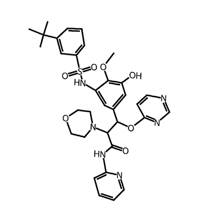 COc1c(O)cc(C(Oc2ccncn2)C(C(=O)Nc2ccccn2)N2CCOCC2)cc1NS(=O)(=O)c1cccc(C(C)(C)C)c1